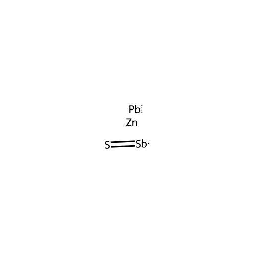 [Pb].[S]=[Sb].[Zn]